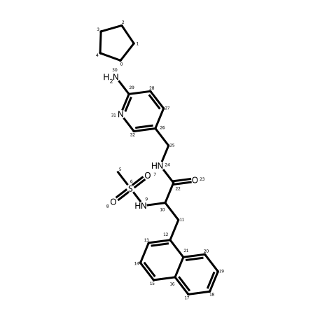 C1CCCC1.CS(=O)(=O)NC(Cc1cccc2ccccc12)C(=O)NCc1ccc(N)nc1